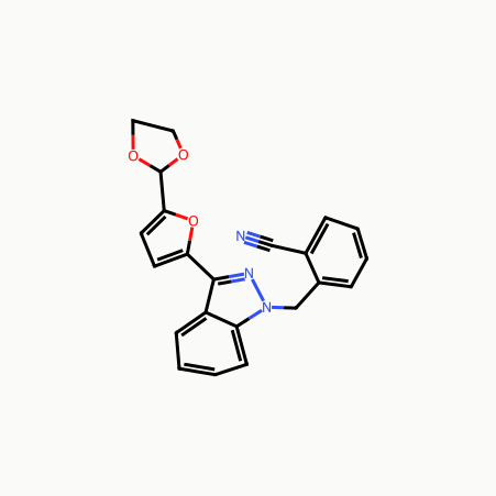 N#Cc1ccccc1Cn1nc(-c2ccc(C3OCCO3)o2)c2ccccc21